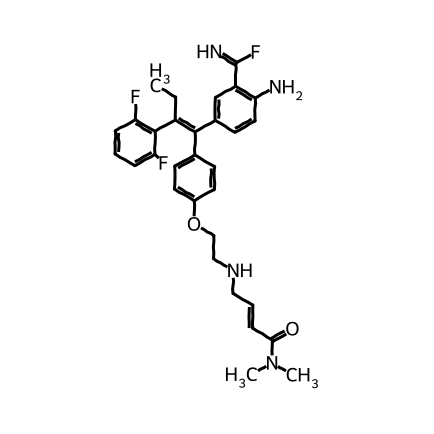 CC/C(=C(/c1ccc(OCCNC/C=C/C(=O)N(C)C)cc1)c1ccc(N)c(C(=N)F)c1)c1c(F)cccc1F